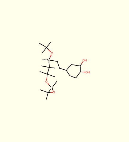 CC(C)(C)O[Si](C)(CCC1CCC(O)C(O)C1)C(C)(C)C(C)(C)O[Si]1(C)OC1(C)C